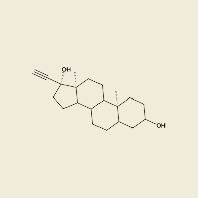 C#C[C@]1(O)CCC2C3CCC4CC(O)CC[C@]4(C)C3CC[C@@]21C